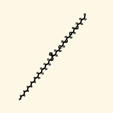 CCCCCCCCCCCCCCCCCCOC(=O)CCCOCCOCCOCCOCCCCC